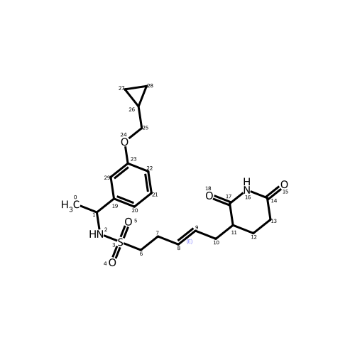 CC(NS(=O)(=O)CC/C=C/CC1CCC(=O)NC1=O)c1cccc(OCC2CC2)c1